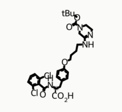 CC(C)(C)OC(=O)N1CCN=C(NCCCCOc2ccc(C[C@H](NC(=O)c3c(Cl)cccc3Cl)C(=O)O)cc2)C1